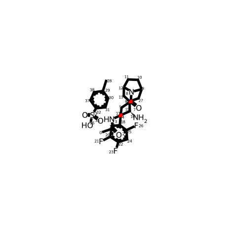 CC(=O)NCCC(=O)N1C2CCC1CC([C@H](N)Cc1cc(F)c(F)cc1F)C2.Cc1ccc(S(=O)(=O)O)cc1